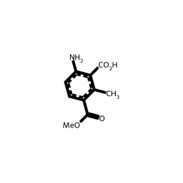 COC(=O)c1ccc(N)c(C(=O)O)c1C